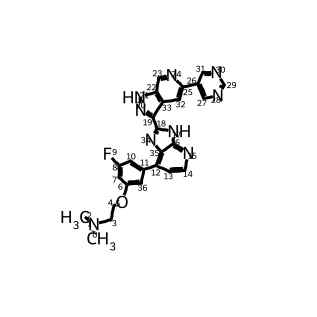 CN(C)CCOc1cc(F)cc(-c2ccnc3[nH]c(-c4n[nH]c5cnc(-c6cncnc6)cc45)nc23)c1